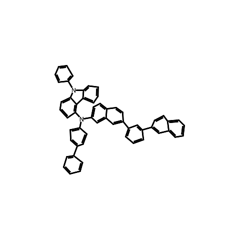 c1ccc(-c2ccc(N(c3ccc4ccc(-c5cccc(-c6ccc7ccccc7c6)c5)cc4c3)c3cccc4c3c3ccccc3n4-c3ccccc3)cc2)cc1